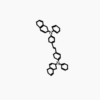 C1=CC(N(C2=CC=C(/C=C/C3=CC=C(N(C4=CCCC=C4)C4C=CC5=C(C=CCC5)C4)CC3)CC2)C2C=CC3=C(C=CCC3)C2)=CCC1